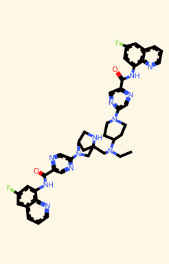 CCN(CC12CC(CN1)N(c1cnc(C(=O)Nc3cc(F)cc4cccnc34)cn1)C2)C1CCN(c2cnc(C(=O)Nc3cc(F)cc4cccnc34)cn2)CC1